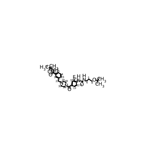 CC(C)OCCCNC(=O)Nc1ccc(C(=O)N2CCN(Cc3cccc(C(=O)NC(C)(C)C)c3)CC2)cc1F